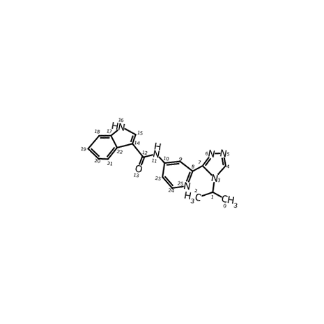 CC(C)n1cnnc1-c1cc(NC(=O)c2c[nH]c3ccccc23)ccn1